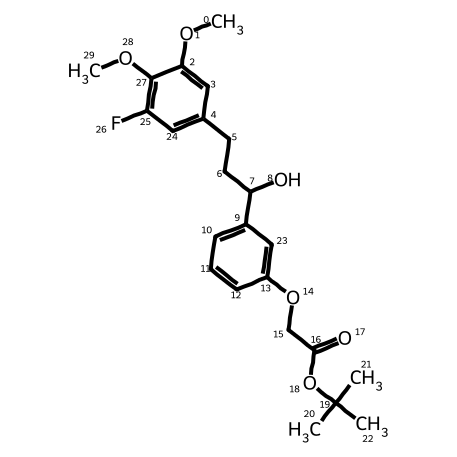 COc1cc(CCC(O)c2cccc(OCC(=O)OC(C)(C)C)c2)cc(F)c1OC